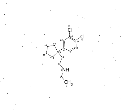 CCNCCC1(c2ccc(Cl)c(Cl)c2)CCCC1